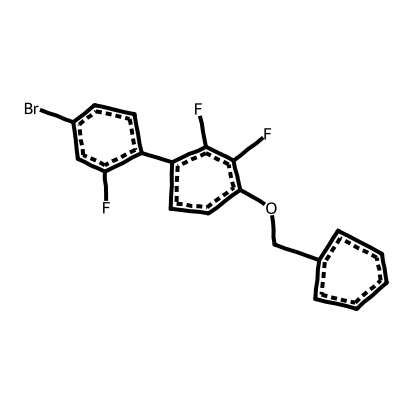 Fc1cc(Br)ccc1-c1ccc(OCc2ccccc2)c(F)c1F